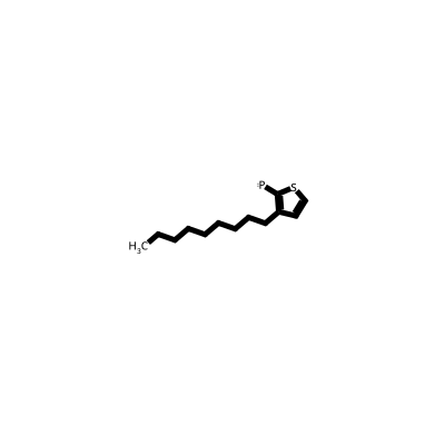 CCCCCCCCCc1ccsc1[P]